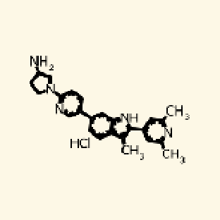 Cc1cc(-c2[nH]c3cc(-c4ccc(N5CC[C@@H](N)C5)nc4)ccc3c2C)cc(C)n1.Cl